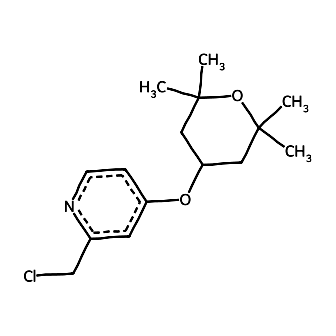 CC1(C)CC(Oc2ccnc(CCl)c2)CC(C)(C)O1